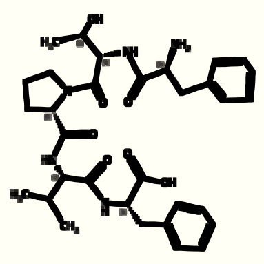 CC(C)[C@H](NC(=O)[C@@H]1CCCN1C(=O)[C@@H](NC(=O)[C@@H](N)Cc1ccccc1)[C@@H](C)O)C(=O)N[C@@H](Cc1ccccc1)C(=O)O